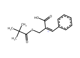 CC(C)(C)C(=O)SC/C(=C/c1ccccc1)C(=O)O